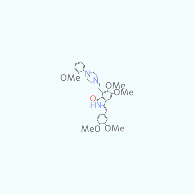 COc1ccc(C=C2NC(=O)c3c2cc(OC)c(OC)c3CCN2CCN(c3ccccc3OC)CC2)cc1OC